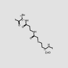 CC[C@H](C)[C@H](NC(=O)CCNC(=O)CSCC[C@@H](C=O)NI)C(=O)I